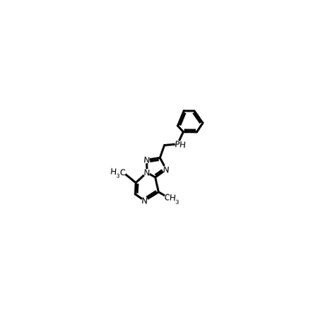 Cc1ncc(C)n2nc(CPc3ccccc3)nc12